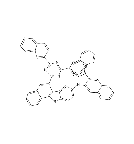 c1ccc(-c2nc(-c3ccc4ccccc4c3)nc(-c3cc4ccccc4c4sc5ccc(-n6c7cc8ccccc8cc7c7c8ccccc8ccc76)cc5c34)n2)cc1